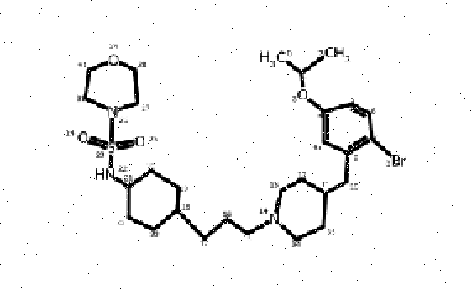 CC(C)Oc1ccc(Br)c(CC2CCN(CCCC3CCC(NS(=O)(=O)N4CCOCC4)CC3)CC2)c1